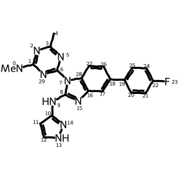 CNc1nc(C)nc(-n2c(Nc3cc[nH]n3)nc3cc(-c4ccc(F)cc4)ccc32)n1